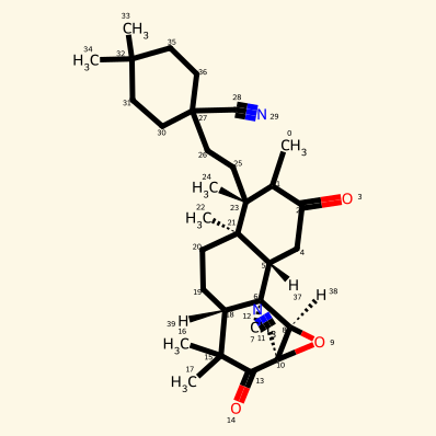 CC1C(=O)C[C@@H]2[C@@]3(C)[C@H]4O[C@@]4(C#N)C(=O)C(C)(C)[C@@H]3CC[C@@]2(C)[C@]1(C)CCC1(C#N)CCC(C)(C)CC1